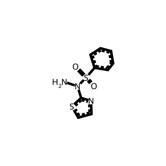 NN(c1nccs1)S(=O)(=O)c1ccccc1